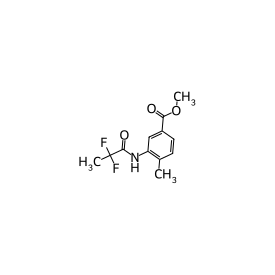 COC(=O)c1ccc(C)c(NC(=O)C(C)(F)F)c1